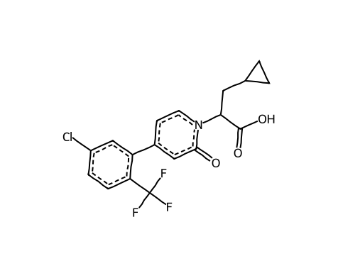 O=C(O)C(CC1CC1)n1ccc(-c2cc(Cl)ccc2C(F)(F)F)cc1=O